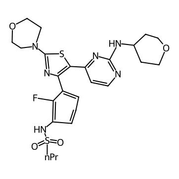 CCCS(=O)(=O)Nc1cccc(-c2nc(N3CCOCC3)sc2-c2ccnc(NC3CCOCC3)n2)c1F